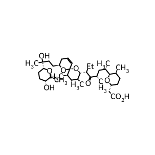 CCC(C(=O)[C@@H](C)C[C@H](C)[C@@H]1O[C@@H](CC(=O)O)CC[C@@H]1C)[C@H]1O[C@]2(C=CC[C@H](CCC(C)(O)[C@H]3CC[C@@H](O)[C@H](C)O3)O2)[C@H](C)C[C@@H]1C